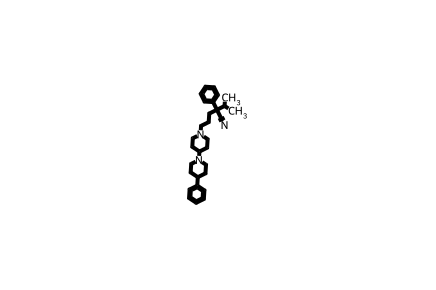 CC(C)C(C#N)(CCCN1CCC(N2CCC(c3ccccc3)CC2)CC1)c1ccccc1